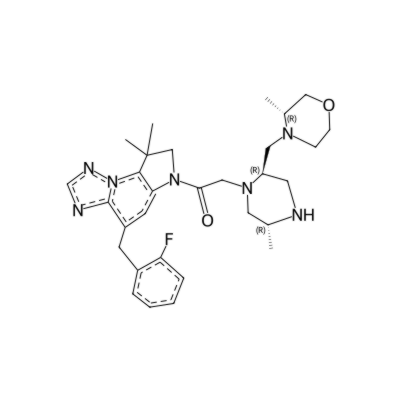 C[C@@H]1CN(CC(=O)N2CC(C)(C)c3c2cc(Cc2ccccc2F)c2ncnn32)[C@@H](CN2CCOC[C@H]2C)CN1